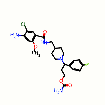 COc1cc(N)c(Cl)cc1C(=O)NCC1CCN(C(CCOC(N)=O)c2ccc(F)cc2)CC1